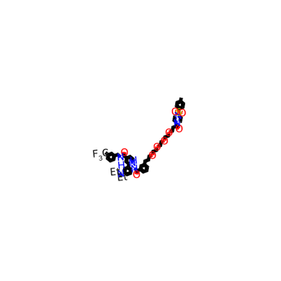 CCN(CC)c1ccc(NC(=O)c2cccc(CCCOCCOCCOCCOCCC(=O)N3CCN(S(=O)(=O)c4ccc(C)cc4)CC3)c2)c(-c2cc(C(=O)NCc3cccc(C(F)(F)F)c3)ccn2)c1